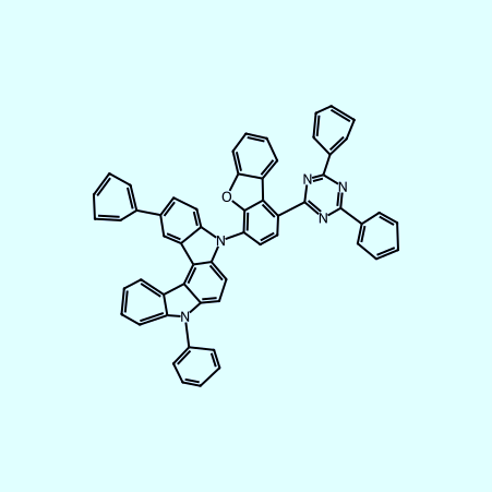 c1ccc(-c2ccc3c(c2)c2c4c5ccccc5n(-c5ccccc5)c4ccc2n3-c2ccc(-c3nc(-c4ccccc4)nc(-c4ccccc4)n3)c3c2oc2ccccc23)cc1